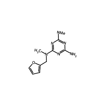 CNc1nc(N)nc(N(C)Cc2ccco2)n1